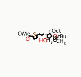 CCCCCCCC[C@@H]1[C@@H](CCCc2ccc(C(=O)OC)s2)[C@@H](O)C[C@H]1O[Si](C)(C)C(C)(C)C